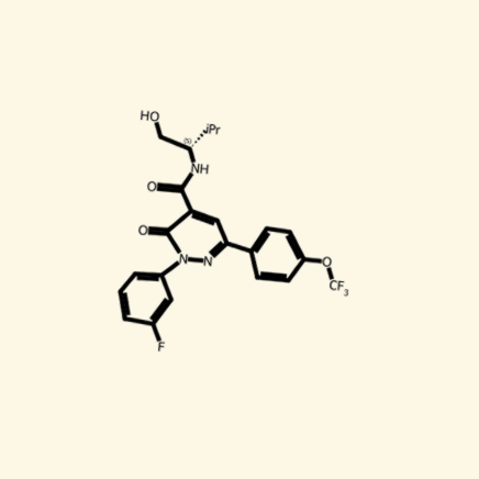 CC(C)[C@@H](CO)NC(=O)c1cc(-c2ccc(OC(F)(F)F)cc2)nn(-c2cccc(F)c2)c1=O